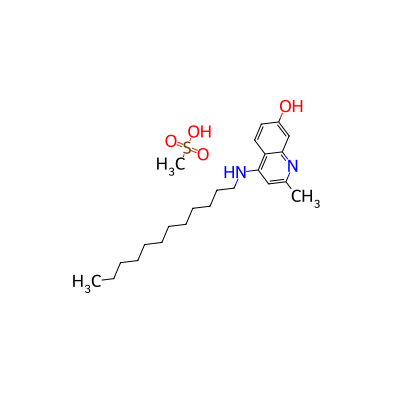 CCCCCCCCCCCCNc1cc(C)nc2cc(O)ccc12.CS(=O)(=O)O